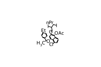 CCCC(I)C(I)COc1cc(OC(C)c2ccc(CC)cc2)c2c(Cl)cccc2c1OC(C)=O